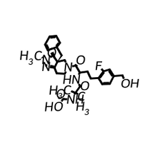 CN1N=C2CCN(C(=O)C(CCc3ccc(CO)cc3F)NC(=O)C(C)(C)NC(=O)O)C[C@@]2(Cc2ccccc2)C1=O